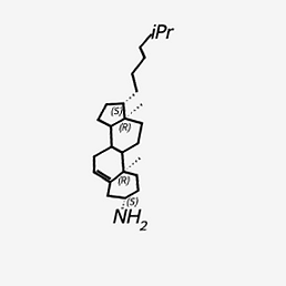 CC(C)CCCC[C@H]1CCC2C3CC=C4C[C@@H](N)CC[C@]4(C)C3CC[C@@]21C